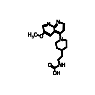 COc1cnc2nccc(N3CCC(CCNC(=O)O)CC3)c2c1